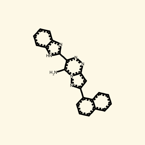 Nc1c(-c2nc3ccccc3[nH]2)nnc2cc(-c3cccc4ccccc34)nn12